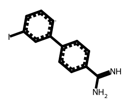 N=C(N)c1ccc(-c2[c]ccc(I)c2)cc1